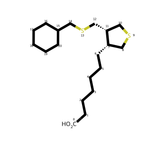 O=C(O)CCCCCC[C@H]1CSC[C@H]1CSCC1CCCCC1